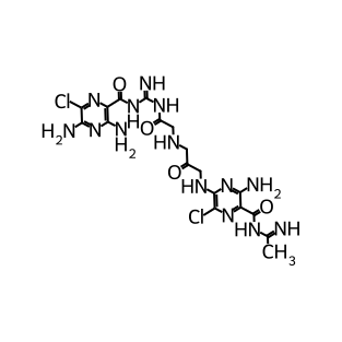 CC(=N)NC(=O)c1nc(Cl)c(NCC(=O)CNCC(=O)NC(=N)NC(=O)c2nc(Cl)c(N)nc2N)nc1N